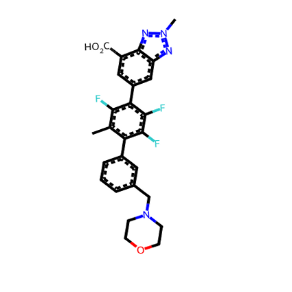 Cc1c(F)c(-c2cc(C(=O)O)c3nn(C)nc3c2)c(F)c(F)c1-c1cccc(CN2CCOCC2)c1